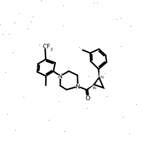 Cc1cccc([C@H]2C[C@H]2C(=O)N2CCN(c3cc(C(F)(F)F)ccc3C)CC2)c1